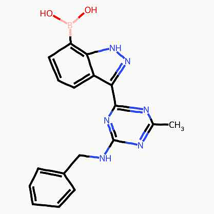 Cc1nc(NCc2ccccc2)nc(-c2n[nH]c3c(B(O)O)cccc23)n1